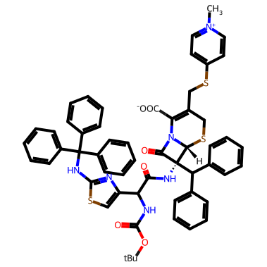 C[n+]1ccc(SCC2=C(C(=O)[O-])N3C(=O)[C@](NC(=O)C(NC(=O)OC(C)(C)C)c4csc(NC(c5ccccc5)(c5ccccc5)c5ccccc5)n4)(C(c4ccccc4)c4ccccc4)[C@H]3SC2)cc1